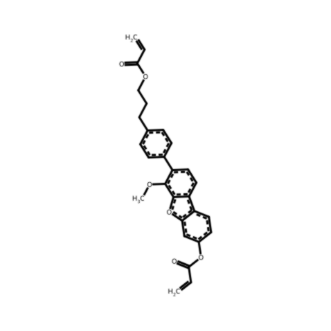 C=CC(=O)OCCCc1ccc(-c2ccc3c(oc4cc(OC(=O)C=C)ccc43)c2OC)cc1